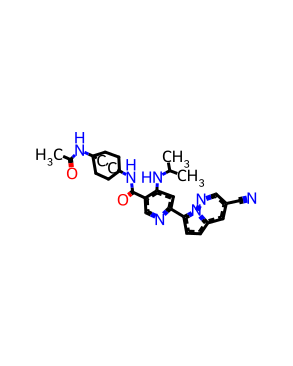 CC(=O)NC12CCC(NC(=O)c3cnc(-c4ccc5cc(C#N)cnn45)cc3NC(C)C)(CC1)CC2